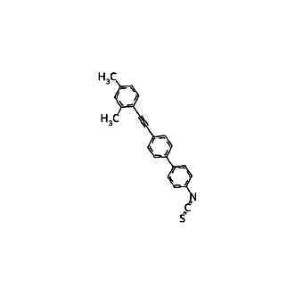 Cc1ccc(C#Cc2ccc(-c3ccc(N=C=S)cc3)cc2)c(C)c1